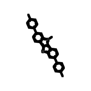 Cc1ccc(-c2ccc3c(c2)oc2c4ccc(-c5ccc(C)cc5)cc4n(C)c32)cc1